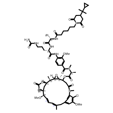 COc1cc(C(=O)N(C)[C@@H](C)C(=O)OC2CC(=O)N(C)c3cc(cc(OC)c3Cl)C/C(C)=C/C=C/[C@@H](OC)[C@@]3(O)C[C@H](OC(=O)N3)[C@@H](C)[C@@H]3O[C@@]23C)ccc1NC(=O)[C@H](CCCNC(N)=O)NC(=O)[C@@H](NC(=O)CCCCCN1C(=O)CC(C(C)(C)C2CC2)CC1=O)C(C)C